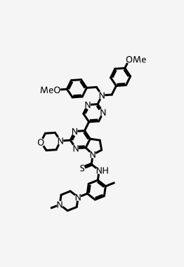 COc1ccc(CN(Cc2ccc(OC)cc2)c2ncc(-c3nc(N4CCOCC4)nc4c3CCN4C(=S)Nc3cc(N4CCN(C)CC4)ccc3C)cn2)cc1